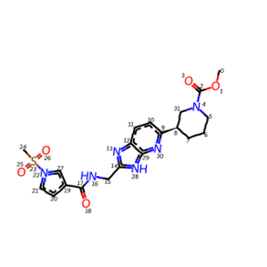 COC(=O)N1CCC[C@@H](c2ccc3nc(CNC(=O)c4ccn(S(C)(=O)=O)c4)[nH]c3n2)C1